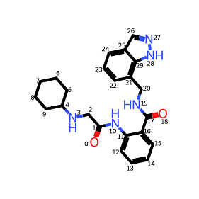 O=C(CNC1CCCCC1)Nc1ccccc1C(=O)NCc1cccc2cn[nH]c12